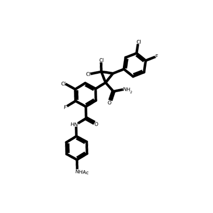 CC(=O)Nc1ccc(NC(=O)c2cc(C3(C(N)=O)C(c4ccc(F)c(Cl)c4)C3(Cl)Cl)cc(Cl)c2F)cc1